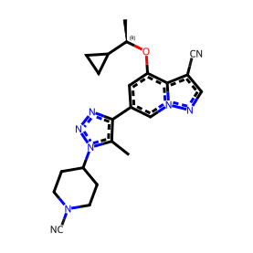 Cc1c(-c2cc(O[C@H](C)C3CC3)c3c(C#N)cnn3c2)nnn1C1CCN(C#N)CC1